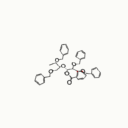 C[C@@H](OCc1ccccc1)C(COCc1ccccc1)O[C@@H](OC(=O)c1ccccc1)[C@H](COCc1ccccc1)OCc1ccccc1